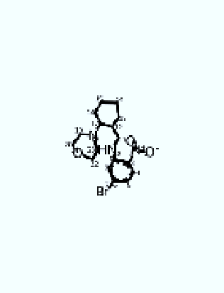 O=[N+]([O-])c1ccc(Br)cc1NCC1CCCCC1N1CCOCC1